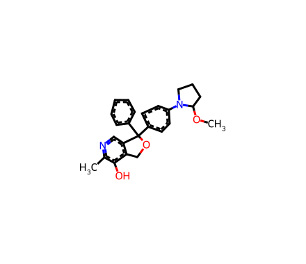 COC1CCCN1c1ccc(C2(c3ccccc3)OCc3c2cnc(C)c3O)cc1